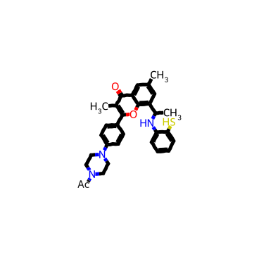 CC(=O)N1CCN(c2ccc(-c3oc4c(C(C)Nc5ccccc5S)cc(C)cc4c(=O)c3C)cc2)CC1